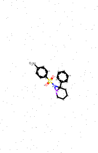 O=[N+]([O-])c1ccc(S(=O)(=O)N2I3CCCCC23c2ccccc2)cc1